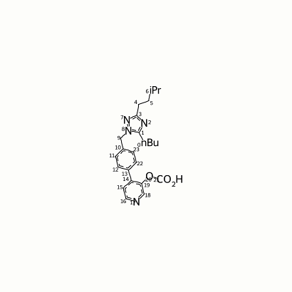 CCCCc1nc(CCC(C)C)nn1Cc1ccc(-c2ccncc2OC(=O)O)cc1